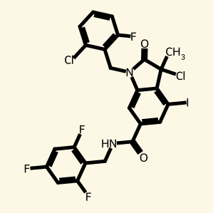 CC1(Cl)C(=O)N(Cc2c(F)cccc2Cl)c2cc(C(=O)NCc3c(F)cc(F)cc3F)cc(I)c21